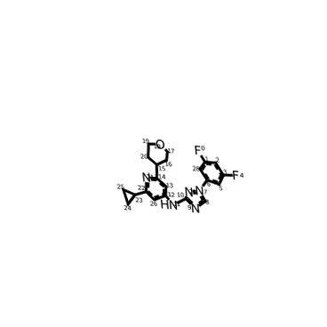 Fc1cc(F)cc(-n2cnc(Nc3cc(C4CCOCC4)nc(C4CC4)c3)n2)c1